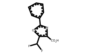 O=C(O)c1nc(-c2ccccc2)oc1C(F)F